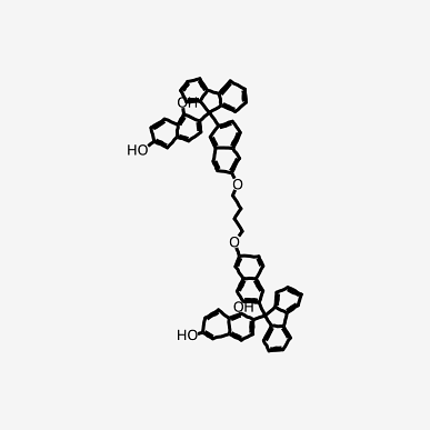 Oc1ccc2c(O)c(C3(c4ccc5cc(OCCCCOc6ccc7cc(C8(c9ccc%10cc(O)ccc%10c9O)c9ccccc9-c9ccccc98)ccc7c6)ccc5c4)c4ccccc4-c4ccccc43)ccc2c1